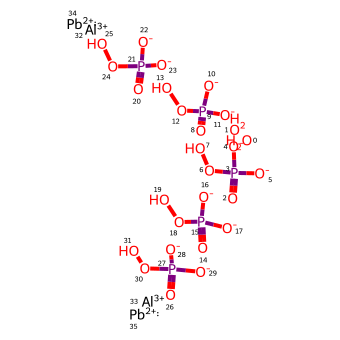 O.O.O=P([O-])([O-])OO.O=P([O-])([O-])OO.O=P([O-])([O-])OO.O=P([O-])([O-])OO.O=P([O-])([O-])OO.[Al+3].[Al+3].[Pb+2].[Pb+2]